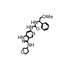 COCC(NC(=O)Nc1cc2[nH]nc(NC3CCOC3)c2cn1)c1ccccc1